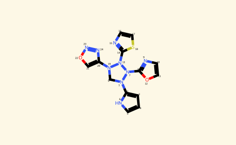 [CH]1N(c2ccc[nH]2)N(c2ncco2)N(c2nccs2)N1c1conn1